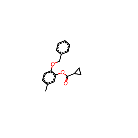 Cc1ccc(OCc2ccccc2)c(OC(=O)C2CC2)c1